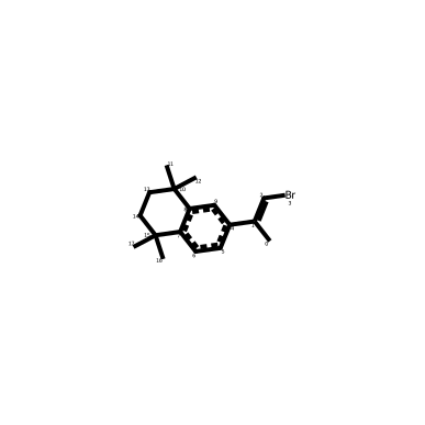 CC(=CBr)c1ccc2c(c1)C(C)(C)CCC2(C)C